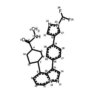 CNC(=O)C1CCC(c2cccn3ncc(-c4ccc(-c5cnn(C(F)F)c5)cc4)c23)CC1